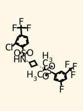 CC(C)([C@H]1C[C@@H](NS(=O)(=O)c2ccc(C(F)(F)F)cc2Cl)C1)S(=O)(=O)c1cc(F)cc(C(F)(F)F)c1